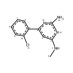 CNc1cc(-c2ccccc2Cl)nc(N)n1